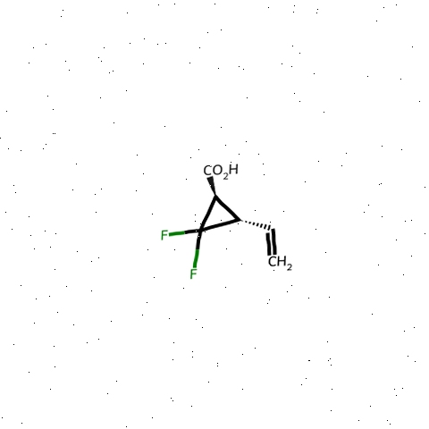 C=C[C@H]1[C@H](C(=O)O)C1(F)F